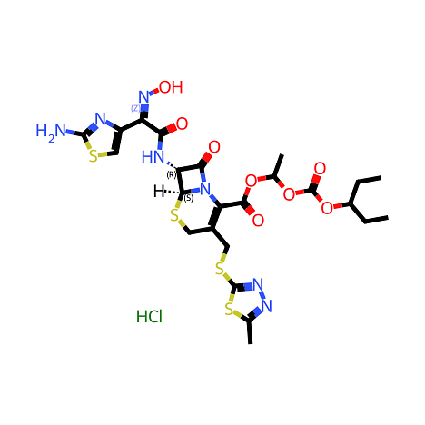 CCC(CC)OC(=O)OC(C)OC(=O)C1=C(CSc2nnc(C)s2)CS[C@H]2[C@H](NC(=O)/C(=N\O)c3csc(N)n3)C(=O)N12.Cl